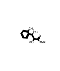 COC(=O)C(O)[C@H](O)c1ccccc1C